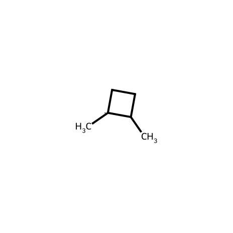 C[C]1CCC1C